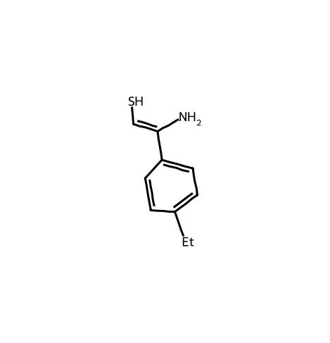 CCc1ccc(/C(N)=C/S)cc1